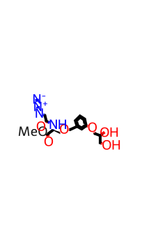 COC(=O)[C@H](COCc1cccc(OCC(O)CO)c1)NC(=O)CN=[N+]=[N-]